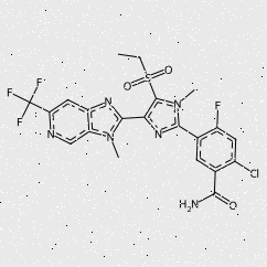 CCS(=O)(=O)c1c(-c2nc3cc(C(F)(F)F)ncc3n2C)nc(-c2cc(C(N)=O)c(Cl)cc2F)n1C